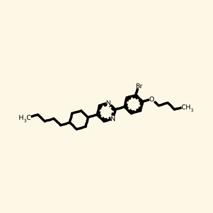 CCCCCC1CCC(c2cnc(-c3ccc(OCCCC)c(Br)c3)nc2)CC1